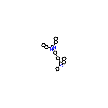 c1ccc(-c2cc(-c3ccc(-c4ccc(-c5nc(-c6ccc7ccccc7c6)cc(-c6ccc7ccccc7c6)n5)cc4)cc3)c3c(ccc4ccccc43)n2)cc1